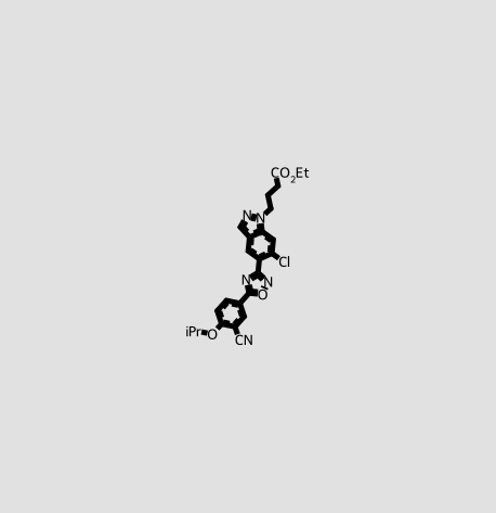 CCOC(=O)CCCn1ncc2cc(-c3noc(-c4ccc(OC(C)C)c(C#N)c4)n3)c(Cl)cc21